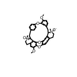 COc1ccc2cc1Oc1ccc(cc1)CC1c3c(cc(OC)c4c3Oc3cc5c(cc3O4)CC[N+](C)([O-])C5C2)CC[N+]1(C)[O-]